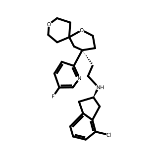 Fc1ccc([C@]2(CCN[C@@H]3Cc4cccc(Cl)c4C3)CCOC3(CCOCC3)C2)nc1